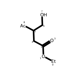 CCOC(=O)CC(CO)C(C)=O